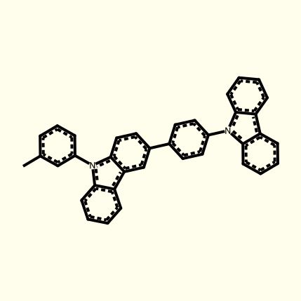 Cc1cccc(-n2c3ccccc3c3cc(-c4ccc(-n5c6ccccc6c6ccccc65)cc4)ccc32)c1